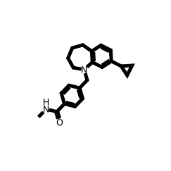 CNC(=O)c1ccc(CN2CCCCc3ccc(C4CC4)cc32)cc1